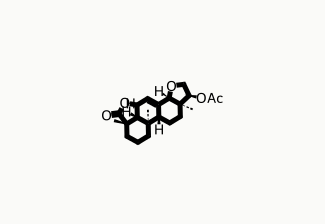 CC(=O)O[C@@H]1CO[C@@H]2C3=C[C@H]4OC(=O)[C@@]5(C)CCC[C@@](C)([C@@H]45)[C@H]3CC[C@@]21C